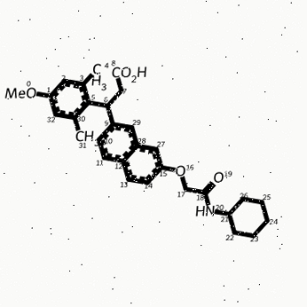 COc1cc(C)c(C(CC(=O)O)c2ccc3ccc(OCC(=O)NC4CCCCC4)cc3c2)c(C)c1